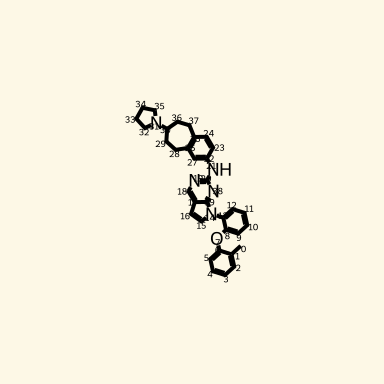 Cc1ccccc1Oc1ccccc1-n1ccc2cnc(Nc3ccc4c(c3)CCC(N3CCCC3)CC4)nc21